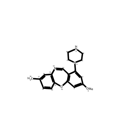 COc1cc2c(c(N3CCNCC3)c1)C=Nc1cc(C)ccc1O2